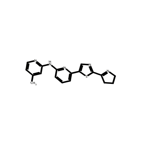 Cc1ccnc(Nc2cccc(-c3cnc(C4=NCCC4)s3)n2)c1